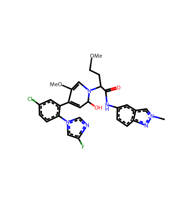 COCCC(C(=O)Nc1ccc2nn(C)cc2c1)N1C=C(OC)C(c2cc(Cl)ccc2-n2cnc(F)c2)=CC1O